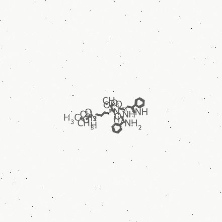 COC(=O)[C@@H](CCCCNC(=O)OC(C)(C)C)NC(=O)[C@@H](Cc1c[nH]c2ccccc12)NC(=O)[C@@H](N)c1ccccc1